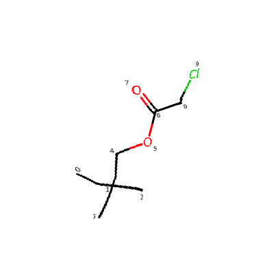 CC(C)(C)COC(=O)CCl